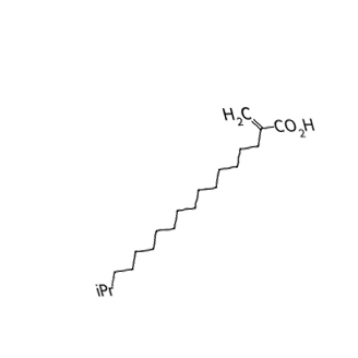 C=C(CCCCCCCCCCCCCCC(C)C)C(=O)O